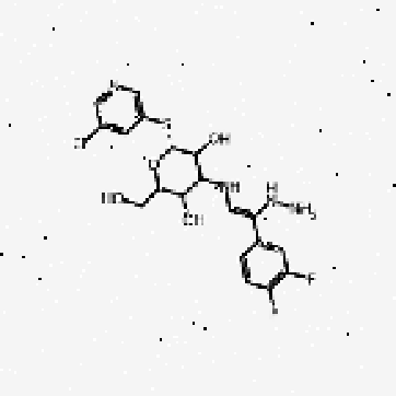 NN/C(=C\NC1C(O)[C@@H](Sc2cncc(Cl)c2)OC(CO)[C@@H]1O)c1ccc(F)c(F)c1